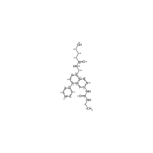 CCNC(=O)Nc1cc2c(-c3ccncc3)ccc(CNC(=O)CCCO)c2cn1